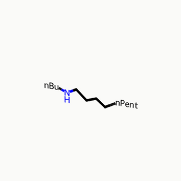 [CH2]CCCCCCCCNCCCC